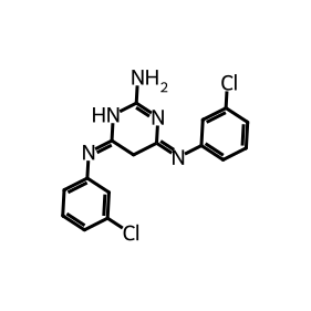 NC1=N/C(=N\c2cccc(Cl)c2)C/C(=N\c2cccc(Cl)c2)N1